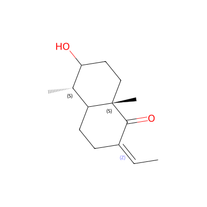 C/C=C1/CCC2[C@H](C)C(O)CC[C@]2(C)C1=O